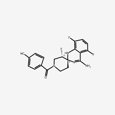 N#Cc1ccc(C(=O)N2CC[C@@]3(N=C(N)c4c(F)ccc(F)c4N3)[C@@H](F)C2)cc1